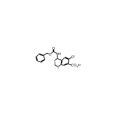 O=C(NC1CCSc2cc(C(=O)O)c(Cl)cc21)OCc1ccccc1